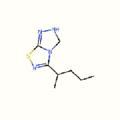 CCCC(C)C1=NSC2=NNCN21